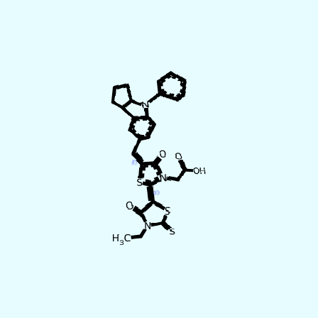 CCN1C(=O)/C(=c2\s/c(=C/c3ccc4c(c3)C3CCCC3N4c3ccccc3)c(=O)n2CC(=O)O)SC1=S